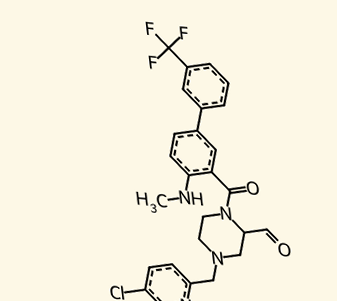 CNc1ccc(-c2cccc(C(F)(F)F)c2)cc1C(=O)N1CCN(Cc2ccc(Cl)cn2)CC1C=O